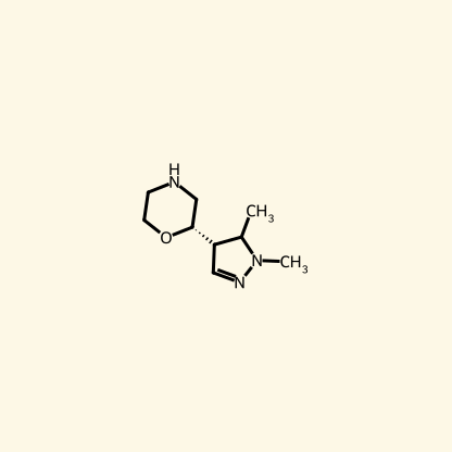 CC1C([C@H]2CNCCO2)C=NN1C